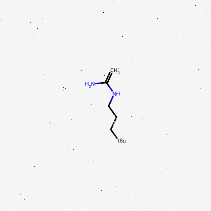 C=C(N)NCCCC(C)(C)C